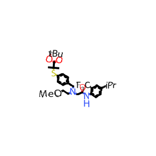 COCCN(CC(=O)Nc1ccc(C(C)C)cc1C(F)(F)F)Cc1ccc(SC(C)(C)C(=O)OC(C)(C)C)cc1